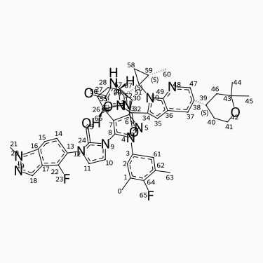 Cc1cc(-n2nc3c(c2-n2ccn(-c4ccc5c(cnn5C)c4F)c2=O)[C@@H]2CC[C@H](C3)N2C(=O)c2cc3cc([C@H]4CCOC(C)(C)C4)cnc3n2[C@@]2(c3noc(=O)[nH]3)C[C@@H]2C)cc(C)c1F